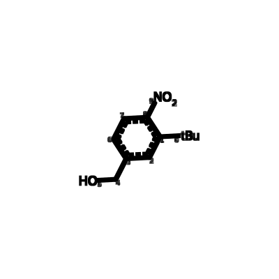 CC(C)(C)c1cc(CO)ccc1[N+](=O)[O-]